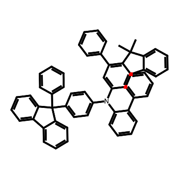 CC1(C)c2ccccc2-c2cc(N(c3ccc(C4(c5ccccc5)c5ccccc5-c5ccccc54)cc3)c3ccccc3-c3ccccc3)cc(-c3ccccc3)c21